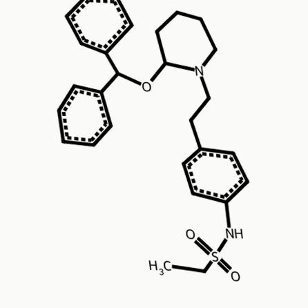 CCS(=O)(=O)Nc1ccc(CCN2CCCCC2OC(c2ccccc2)c2ccccc2)cc1